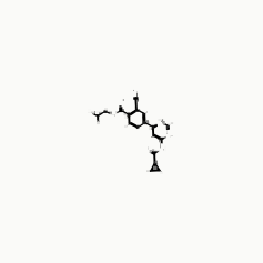 N#Cc1cc(-c2cc(NC(=O)C3CC3)ncn2)ccc1C(=O)NCC(F)F